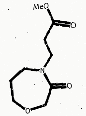 COC(=O)CCN1CCCOCC1=O